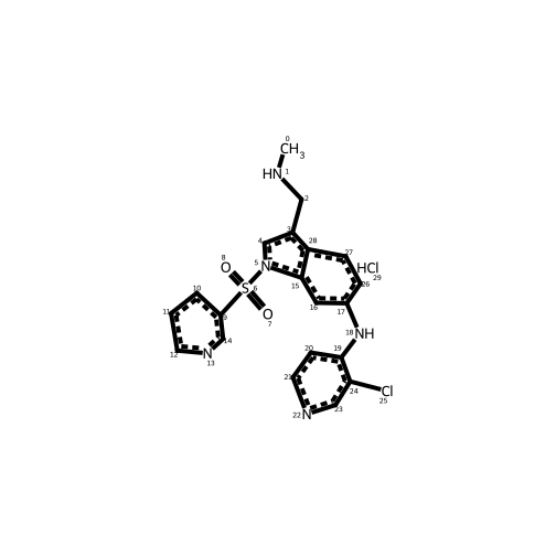 CNCc1cn(S(=O)(=O)c2cccnc2)c2cc(Nc3ccncc3Cl)ccc12.Cl